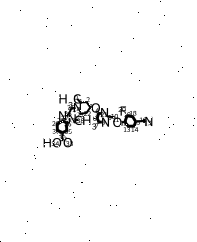 CC1CC(Oc2ccnc(COc3ccc(C#N)cc3F)n2)CCN1Cc1nc2ccc(C(=O)O)cc2n1C